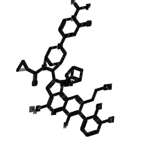 Cc1nc2c(F)c(-c3cccc(Cl)c3Cl)c(CCC#N)cc2c2c1cc(C1C3CC(CN(c4ccn(C(F)F)c(=O)c4)C3)N1C(=O)C1CC1)n2C1C2CNC1C2